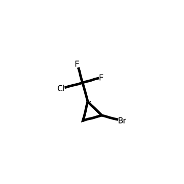 FC(F)(Cl)[C]1CC1Br